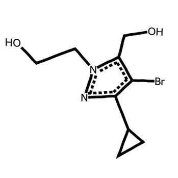 OCCn1nc(C2CC2)c(Br)c1CO